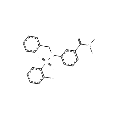 CN(C)C(=O)c1cccc(N(Cc2ccccc2)S(=O)(=O)c2ccccc2F)c1